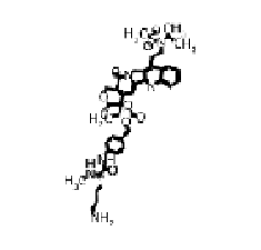 CC[C@@]1(OC(=O)OCc2ccc(NC(=O)[C@H](CCCCN)NC)cc2)C(=O)OCc2c1cc1n(c2=O)Cc2c-1nc1ccccc1c2CCN(C(C)C)S(C)(=O)=O